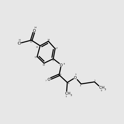 CCCOC(C)C(=O)Oc1ccc(C(=O)Cl)cc1